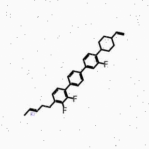 C=CC1CCC(c2ccc(-c3ccc(-c4ccc(CC/C=C/C)c(F)c4F)cc3)cc2F)CC1